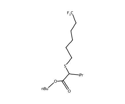 CCCCOC(=O)C(SCCCCCC(F)(F)F)C(C)C